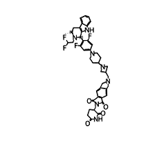 C[C@@H]1Cc2c([nH]c3ccccc23)[C@@H](c2c(F)cc(N3CCC(N4CC(CN5Cc6cc7c(cc6C5)C(=O)N(C5CCC(=O)NC5=O)C7=O)C4)CC3)cc2F)N1CC(F)F